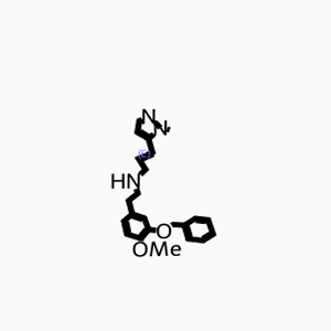 COc1ccc(CCNC/C=C/c2ccnn2C)cc1OCc1ccccc1